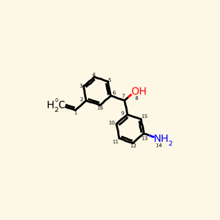 C=Cc1cccc(C(O)c2cccc(N)c2)c1